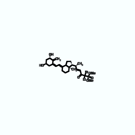 C=C1/C(=C\C=C2/CCC[C@@]3(C)C2CC[C@@H]3[C@H](C)/C=C/C(=O)C(CC)(CC)P(=O)(OC)OC)C[C@@H](O)C[C@@H]1O